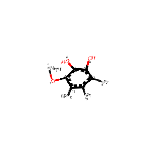 CCCCCCCOc1c(O)c(O)c(CCC)c(CCC)c1CCC